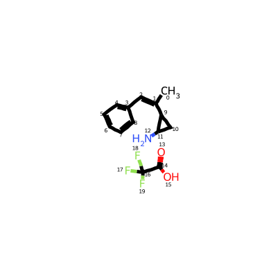 CC(=Cc1ccccc1)C1CC1N.O=C(O)C(F)(F)F